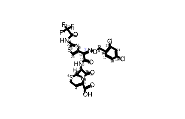 O=C(O)C1=CCS[C@@H]2C(NC(=O)/C(=N\OCc3ccc(Cl)cc3Cl)c3csc(NC(=O)C(F)(F)F)n3)C(=O)N12